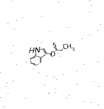 CCC(=S)Oc1c[nH]c2ccccc12